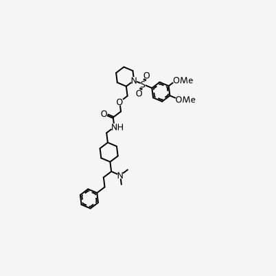 COc1ccc(S(=O)(=O)N2CCCCC2COCC(=O)NCC2CCC(C(CCc3ccccc3)N(C)C)CC2)cc1OC